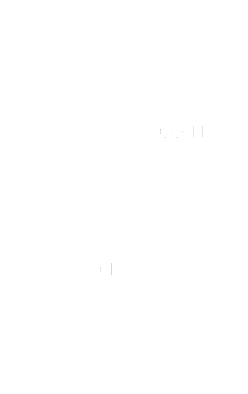 O=C(O)c1ccoc1CCl